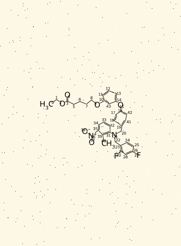 CCOC(=O)CCCCOc1cccc(Oc2ccc(CN(Cc3ccc(F)cc3F)c3cccc([N+](=O)[O-])c3C)cc2)c1